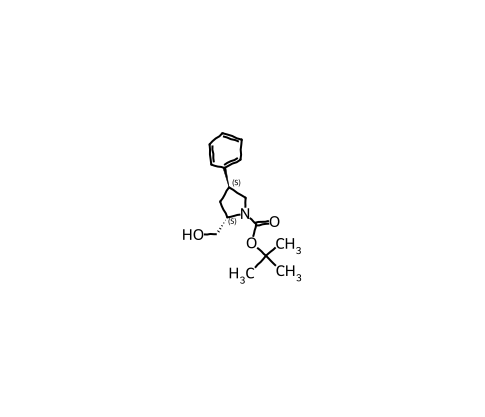 CC(C)(C)OC(=O)N1C[C@H](c2ccccc2)C[C@H]1CO